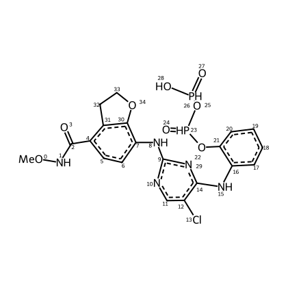 CONC(=O)c1ccc(Nc2ncc(Cl)c(Nc3ccccc3O[PH](=O)O[PH](=O)O)n2)c2c1CCO2